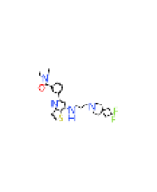 CCN(CC)C(=O)c1cccc(-c2cc(NCCCN3CCC4(CC3)CC(F)(F)C4)c3sccc3n2)c1